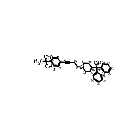 CC(C)(C)c1ccc(C#CCCN2CCC(C(O)(c3ccccc3)c3ccccc3)CC2)cc1